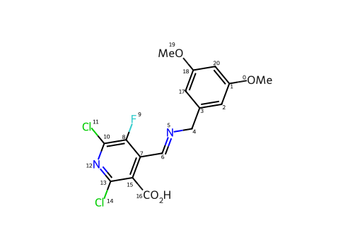 COc1cc(C/N=C/c2c(F)c(Cl)nc(Cl)c2C(=O)O)cc(OC)c1